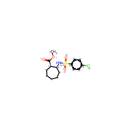 COC(=O)[C@@H]1CCCCC[C@@H]1NS(=O)(=O)c1ccc(Cl)cc1